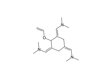 C=COC1C(=CN(C)C)CC(=CN(C)C)CC1=CN(C)C